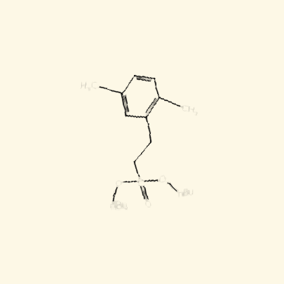 CCCCOP(=O)(CCc1cc(C)ccc1C)OCCCC